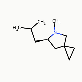 CC(C)C[C@@H]1CC2(CC2)CN1C